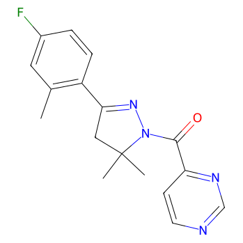 Cc1cc(F)ccc1C1=NN(C(=O)c2ccncn2)C(C)(C)C1